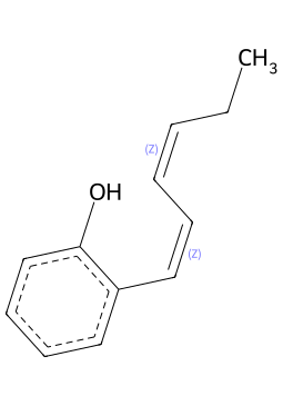 CC/C=C\C=C/c1ccccc1O